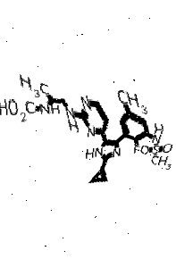 Cc1cc(NS(C)(=O)=O)c(F)c(-c2nc(C3CC3)[nH]c2-c2ccnc(NCC(C)NC(=O)O)n2)c1